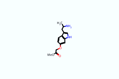 COC(=O)COc1ccc2c(CC(C)N)c[nH]c2c1